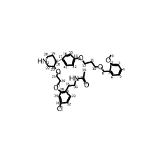 COc1ccccc1COCCCOc1ccc([C@H]2CCNC[C@@H]2OCCOc2cc(Cl)ccc2CCNC(C)=O)cc1